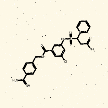 N=C(N)c1ccc(CNC(=O)c2cc(Cl)cc(NS(=O)(=O)C(CC(N)=O)c3ccccc3)c2)cc1